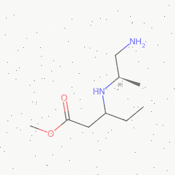 CCC(CC(=O)OC)N[C@H](C)CN